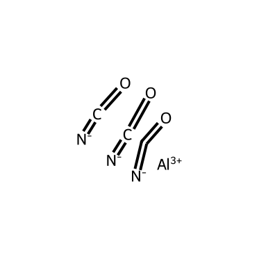 [Al+3].[N-]=C=O.[N-]=C=O.[N-]=C=O